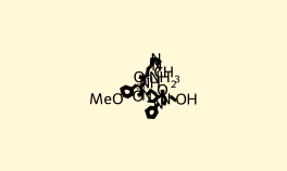 COc1ccc(C[C@@H](NC(=O)[C@@H](N)Cc2cncn2C)C(=O)N2CCC3(CC2)C(=O)N(CCO)CN3c2ccccc2)cc1